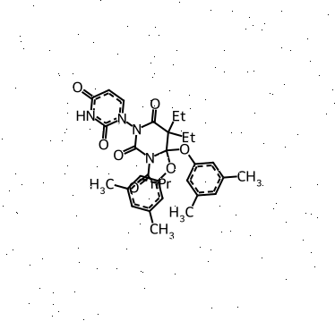 CCCC(=O)N1C(=O)N(n2ccc(=O)[nH]c2=O)C(=O)C(CC)(CC)C1(Oc1cc(C)cc(C)c1)Oc1cc(C)cc(C)c1